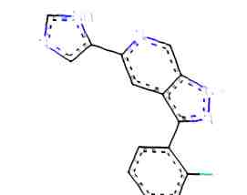 Fc1ccccc1-c1n[nH]c2cnc(-c3cnc[nH]3)cc12